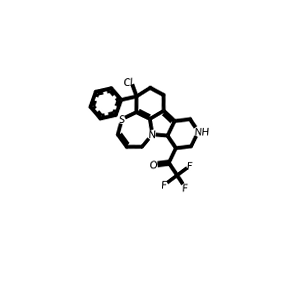 O=C(C1CNCC2=C3CCC(Cl)(c4ccccc4)C4=C3N(CC=CS4)C21)C(F)(F)F